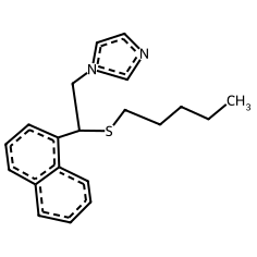 CCCCCSC(Cn1ccnc1)c1cccc2ccccc12